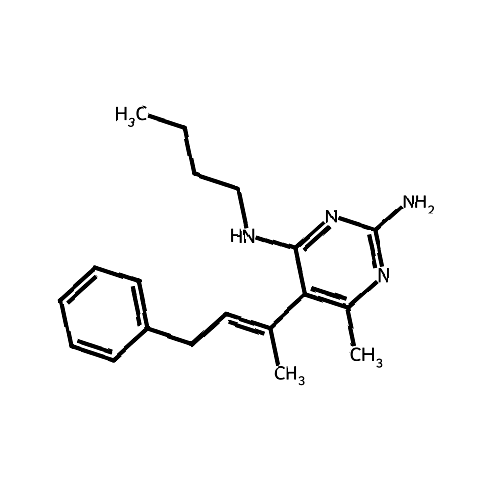 CCCCNc1nc(N)nc(C)c1/C(C)=C/Cc1ccccc1